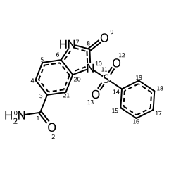 NC(=O)c1ccc2[nH]c(=O)n(S(=O)(=O)c3ccccc3)c2c1